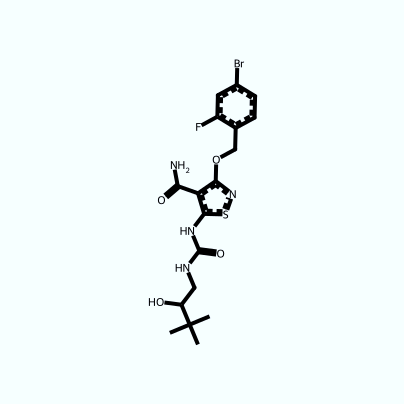 CC(C)(C)C(O)CNC(=O)Nc1snc(OCc2ccc(Br)cc2F)c1C(N)=O